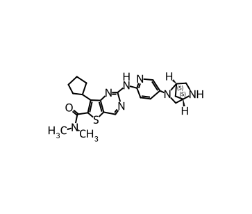 CN(C)C(=O)c1sc2cnc(Nc3ccc(N4C[C@@H]5C[C@H]4CN5)cn3)nc2c1C1CCCC1